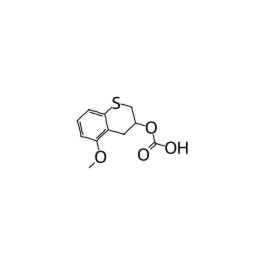 COc1cccc2c1CC(OC(=O)O)CS2